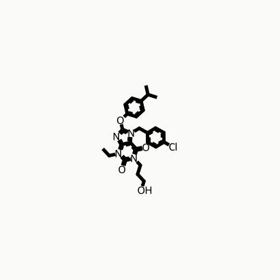 CCn1c(=O)n(CCCO)c(=O)c2c1nc(Oc1ccc(C(C)C)cc1)n2Cc1ccc(Cl)cc1